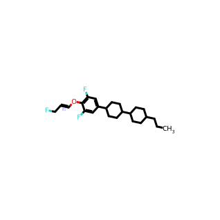 CCCC1CCC(C2CCC(c3cc(F)c(O/C=C/CF)c(F)c3)CC2)CC1